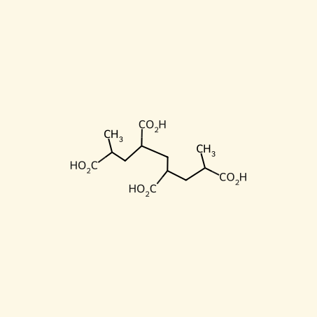 CC(CC(CC(CC(C)C(=O)O)C(=O)O)C(=O)O)C(=O)O